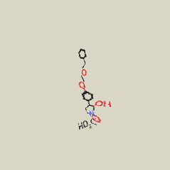 O=C(O)ON1CCC(c2ccc(OCCOCCc3ccccc3)cc2)C(O)C1